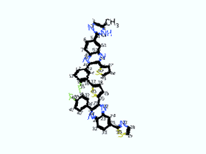 Cc1cnc(-c2ccc3nc(-c4ccc(F)c(-c5ccc(-c6nc7cc(-c8nccs8)ccc7nc6-c6ccc(F)cc6)s5)c4)c(-c4cccs4)nc3c2)[nH]1